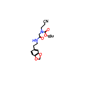 CC(C)(C)OC(=O)N(CCC#N)CC(=O)NCCc1ccc2c(c1)OCO2